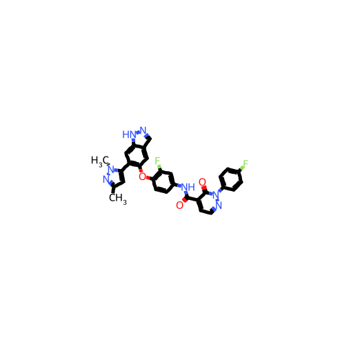 Cc1cc(-c2cc3[nH]ncc3cc2Oc2ccc(NC(=O)c3ccnn(-c4ccc(F)cc4)c3=O)cc2F)n(C)n1